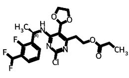 CCC(=O)OCCc1nc(Cl)nc(N[C@H](C)c2cccc(C(F)F)c2F)c1C1OCCO1